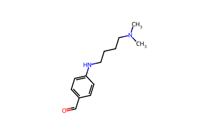 CN(C)CCCCNc1ccc(C=O)cc1